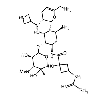 CN[C@@H]1[C@@H](O)[C@@H](O[C@H]2[C@H](NC(=O)C3(O)CC(NC(=N)N)C3)C[C@H](N)C([C@H]3OC(CN)=CC[C@H]3NC3CNC3)[C@@H]2O)OC[C@]1(C)O